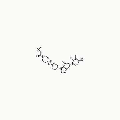 Cc1cc(N2CCC(=O)NC2=O)cc2ccn(C3CCN(CC4(F)CCN(C(=O)OC(C)(C)C)CC4)CC3)c12